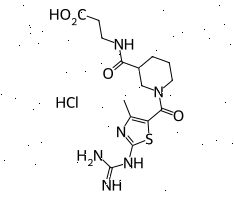 Cc1nc(NC(=N)N)sc1C(=O)N1CCCC(C(=O)NCCC(=O)O)C1.Cl